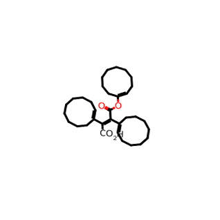 O=C(O)C(/C1=C/CCCCCCCC1)=C(C(=O)O/C1=C/CCCCCCCC1)\C1=C\CCCCCCCC1